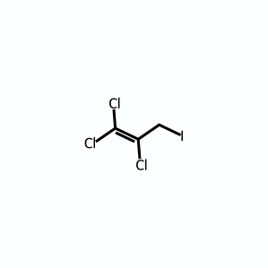 ClC(Cl)=C(Cl)CI